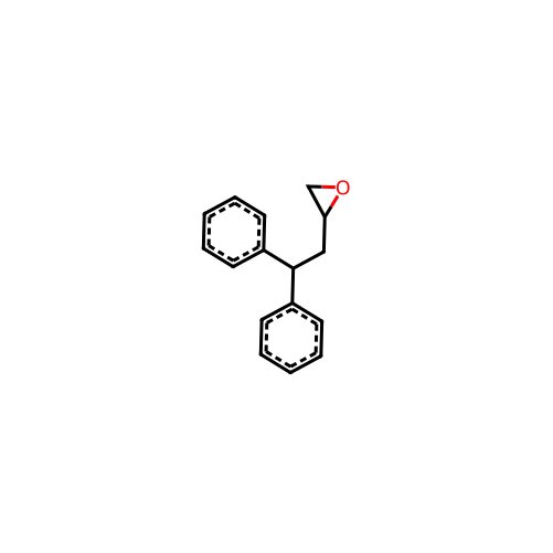 c1ccc(C(CC2CO2)c2ccccc2)cc1